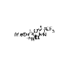 CCn1nc(C(F)(F)F)cc1Oc1cc(OC)cnn1